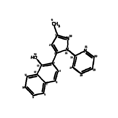 Cc1cc(-c2ccc3ccccc3c2O)n(-c2ccccn2)n1